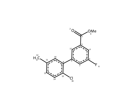 COC(=O)c1cc(F)cc(-c2cc(C)ccc2Cl)c1